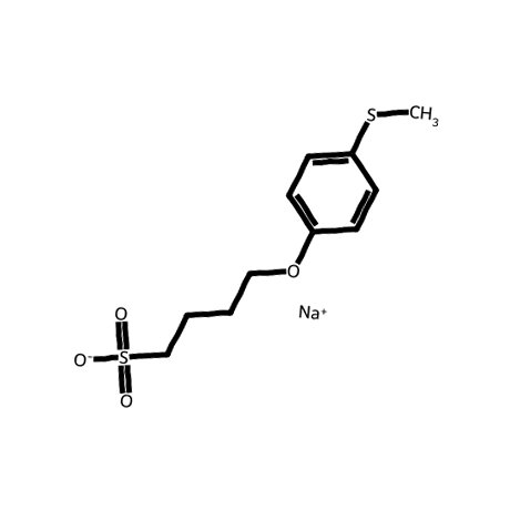 CSc1ccc(OCCCCS(=O)(=O)[O-])cc1.[Na+]